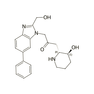 O=C(C[C@H]1NCCC[C@@H]1O)Cn1c(CO)nc2ccc(-c3ccccc3)cc21